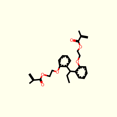 C=C(C)C(=O)OCCOc1ccccc1C(CC)c1ccccc1OCCOC(=O)C(=C)C